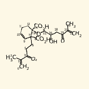 C=C(C)C(=O)CCC1(C(=O)O)C=CCCC1(OCC(O)CC(=O)C(=C)C)C(=O)O